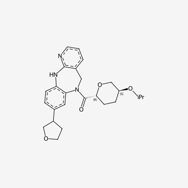 CC(C)O[C@H]1CC[C@H](C(=O)N2Cc3cccnc3Nc3ccc(C4CCOC4)cc32)OC1